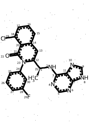 C[C@H](Nc1ncnc2[nH]cnc12)c1cc2cccc(Cl)c2c(=O)n1-c1cccc(F)c1